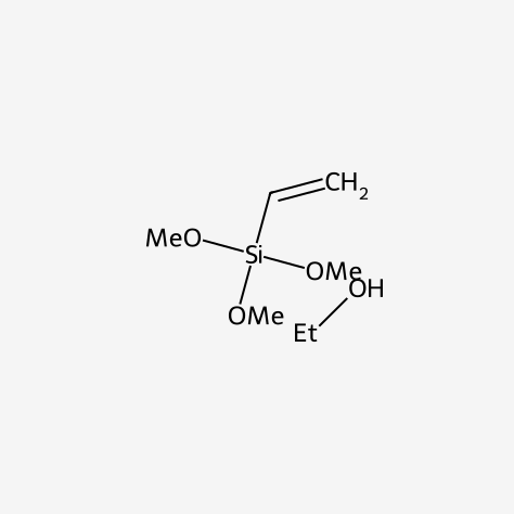 C=C[Si](OC)(OC)OC.CCO